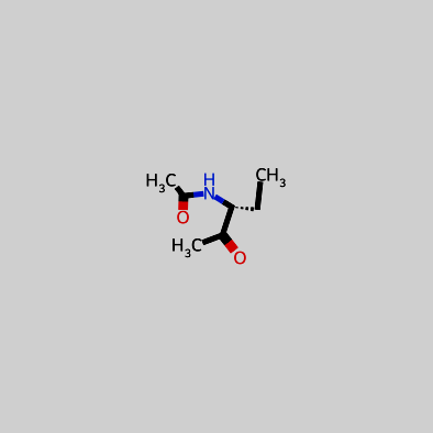 CC[C@@H](NC(C)=O)C(C)=O